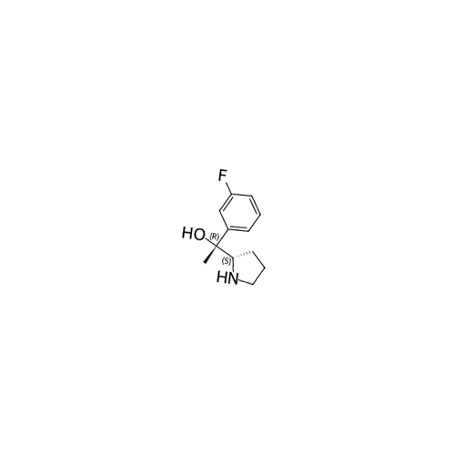 C[C@@](O)(c1cccc(F)c1)[C@@H]1CCCN1